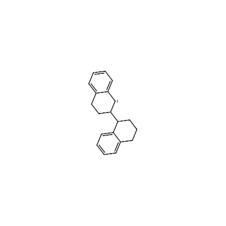 [C]1c2ccccc2CCC1C1CCCc2ccccc21